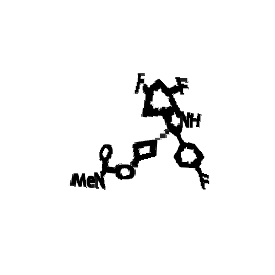 CNC(=O)O[C@H]1C[C@H](c2c(-c3ccc(F)cc3)[nH]c3c(F)cc(F)cc32)C1